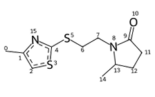 Cc1csc(SCCN2C(=O)CCC2C)n1